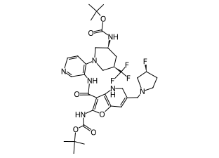 CC(C)(C)OC(=O)Nc1oc2c(c1C(=O)Nc1cnccc1N1C[C@@H](NC(=O)OC(C)(C)C)C[C@@H](C(F)(F)F)C1)NCC(CN1CC[C@H](F)C1)=C2